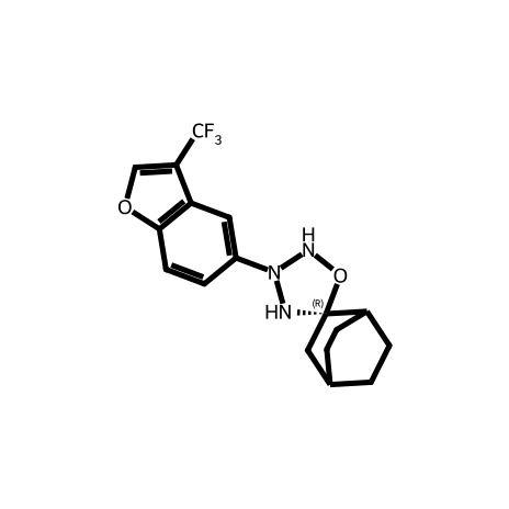 FC(F)(F)c1coc2ccc(N3NO[C@@]4(CC5CCC4CC5)N3)cc12